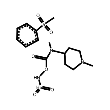 CN1CCC(N(C)C(=O)ON[SH](=O)=O)CC1.CS(=O)(=O)c1ccccc1